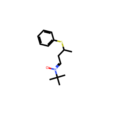 CC(CC=[N+]([O-])C(C)(C)C)Sc1ccccc1